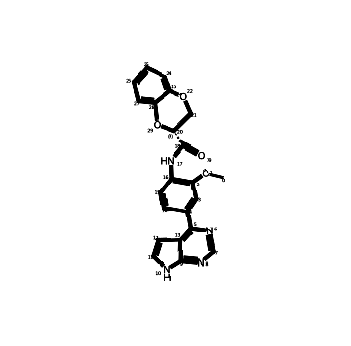 COc1cc(-c2ncnc3[nH]ccc23)ccc1NC(=O)[C@H]1COc2ccccc2O1